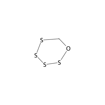 C1OSSSS1